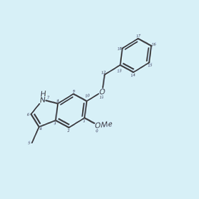 COc1cc2c(C)c[nH]c2cc1OCc1ccccc1